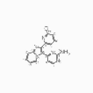 Nc1nccc(-c2c(-c3cccc(Cl)n3)nc3ccccn23)n1